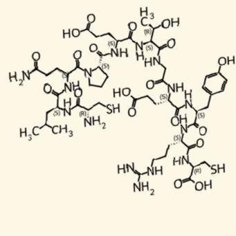 CC(C)C[C@H](NC(=O)[C@@H](N)CS)C(=O)N[C@@H](CCC(N)=O)C(=O)N1CCC[C@H]1C(=O)N[C@@H](CCC(=O)O)C(=O)N[C@H](C(=O)NCC(=O)N[C@@H](CCC(=O)O)C(=O)N[C@@H](Cc1ccc(O)cc1)C(=O)N[C@@H](CCCNC(=N)N)C(=O)N[C@@H](CS)C(=O)O)[C@@H](C)O